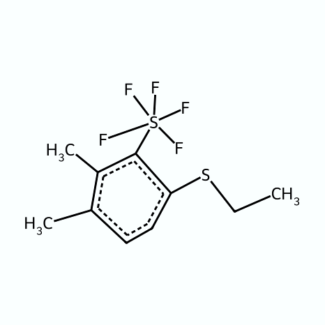 CCSc1ccc(C)c(C)c1S(F)(F)(F)(F)F